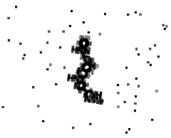 CN/C=C(\C=N)c1cnc2[nH]cc(CC3=CC(F)(I)C(OCc4nc5ccccc5[nH]4)CC3F)c2c1